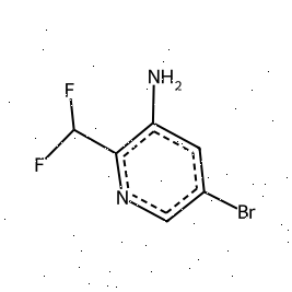 Nc1cc(Br)cnc1C(F)F